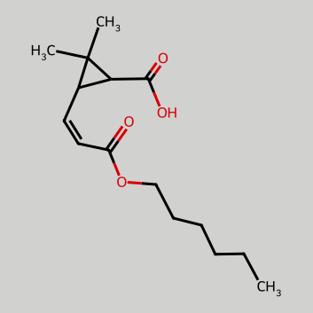 CCCCCCOC(=O)/C=C\C1C(C(=O)O)C1(C)C